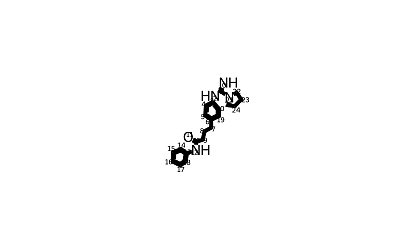 N=C(Nc1ccc(CCCC(=O)Nc2ccccc2)cc1)N1CCCC1